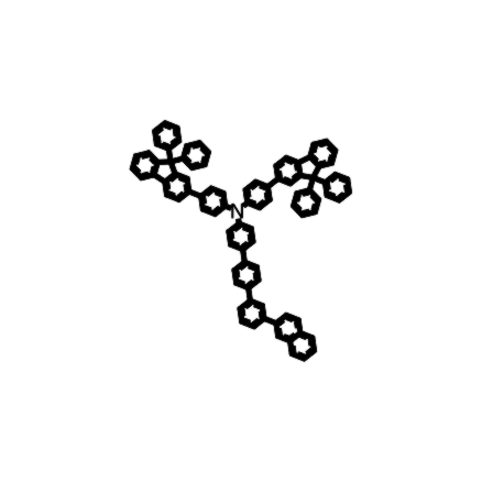 c1ccc(C2(c3ccccc3)c3ccccc3-c3ccc(-c4ccc(N(c5ccc(-c6ccc(-c7cccc(-c8ccc9ccccc9c8)c7)cc6)cc5)c5ccc(-c6ccc7c(c6)C(c6ccccc6)(c6ccccc6)c6ccccc6-7)cc5)cc4)cc32)cc1